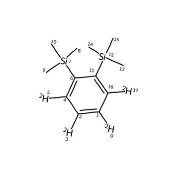 [2H]c1c([2H])c([2H])c([Si](C)(C)C)c([Si](C)(C)C)c1[2H]